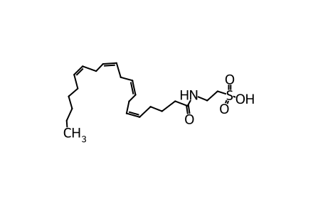 CCCCC/C=C\C/C=C\C/C=C\C/C=C\CCCC(=O)NCCS(=O)(=O)O